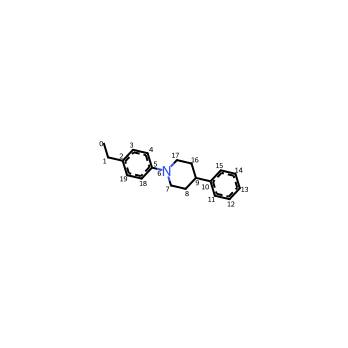 CCc1ccc(N2CCC(c3ccccc3)CC2)cc1